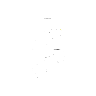 c1ccc(-c2c3ccccc3c(-c3csc4ccccc34)c3ccccc23)cc1